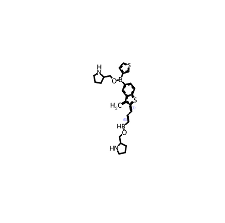 C=c1/c(=C\C=C\BOCC2CCCN2)sc2ccc(B(OCC3CCCN3)c3ccsc3)cc12